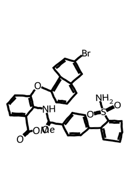 COC(=O)c1cccc(Oc2cccc3cc(Br)ccc23)c1NC(=O)c1ccc(-c2ccccc2S(N)(=O)=O)cc1